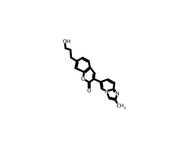 Cc1cn2cc(-c3cc4ccc(CCCO)cc4oc3=O)ccc2n1